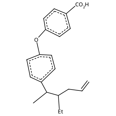 C=CCC(CC)C(C)c1ccc(Oc2ccc(C(=O)O)cc2)cc1